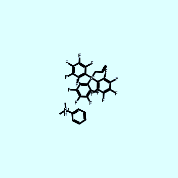 C=CC[B-](c1c(F)c(F)c(F)c(F)c1F)(c1c(F)c(F)c(F)c(F)c1F)c1c(F)c(F)c(F)c(F)c1F.C[NH+](C)c1ccccc1